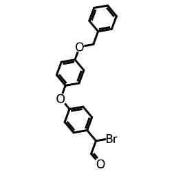 O=CC(Br)c1ccc(Oc2ccc(OCc3ccccc3)cc2)cc1